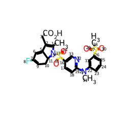 CC1=C(CC(=O)O)C2=CC(F)=CCC2N1S(=O)(=O)c1ccc(N(C)c2cccc(S(C)(=O)=O)c2)nc1